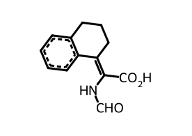 O=CN/C(C(=O)O)=C1/CCCc2ccccc21